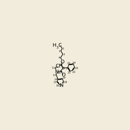 CCCCCOCC(C(=O)N(CC)Cc1ccncc1)c1ccccc1